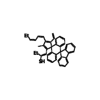 C=CC1=C(/C=C\C=C/CC)C(C)=C(/C=C(/S)CC)C12c1ccccc1C1(c3ccccc3-c3ccccc31)c1ccccc12